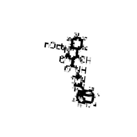 CCCCCCCCn1c(=O)c(C(=O)Nc2nc(C34CC5CC(CC(C5)C3)C4)cs2)c(O)c2ccccc21